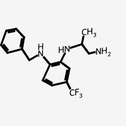 CC(CN)Nc1cc(C(F)(F)F)ccc1NCc1ccccc1